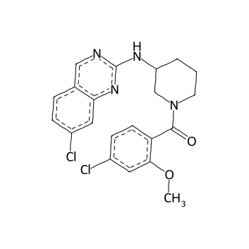 COc1cc(Cl)ccc1C(=O)N1CCCC(Nc2ncc3ccc(Cl)cc3n2)C1